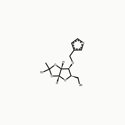 CCC1(C)O[C@H]2O[C@H](CC(C)C)[C@H](OCc3ccsc3)[C@H]2O1